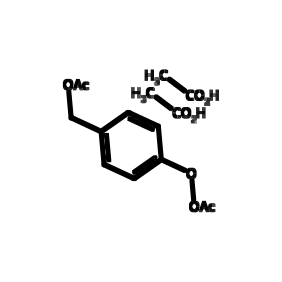 CC(=O)O.CC(=O)O.CC(=O)OCc1ccc(OOC(C)=O)cc1